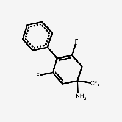 NC1(C(F)(F)F)C=C(F)C(c2ccccc2)=C(F)C1